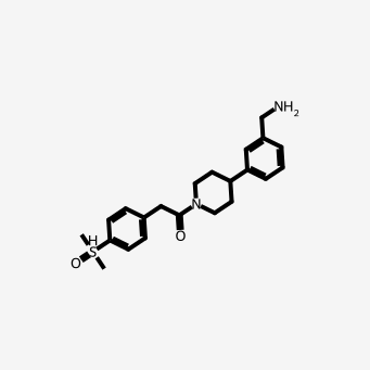 C[SH](C)(=O)c1ccc(CC(=O)N2CCC(c3cccc(CN)c3)CC2)cc1